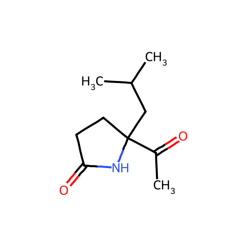 CC(=O)C1(CC(C)C)CCC(=O)N1